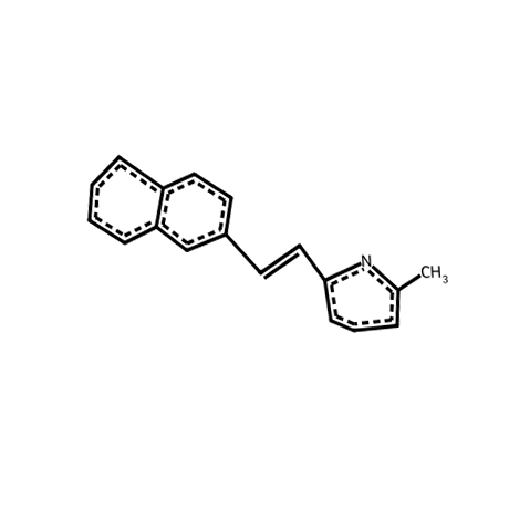 Cc1cccc(/C=C/c2ccc3ccccc3c2)n1